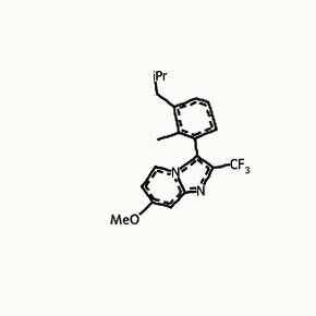 COc1ccn2c(-c3cccc(CC(C)C)c3C)c(C(F)(F)F)nc2c1